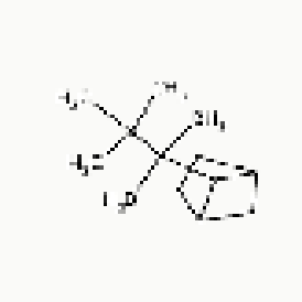 BC(B)(C1C2CCC1C2)C(C)(C)C